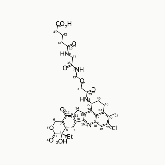 CC[C@@]1(O)C(=O)OCc2c1cc1n(c2=O)Cc2c-1nc1cc(Cl)c(C)c3c1c2[C@@H](NC(=O)COCNC(=O)CNC(=O)CCCC(=O)O)CC3